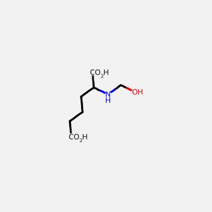 O=C(O)CCCC(NCO)C(=O)O